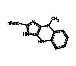 CCCCCc1nc2c([nH]1)Nc1ccccc1N2C